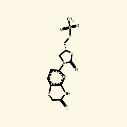 CS(=O)(=O)OC[C@H]1CN(c2ccc3c(n2)NC(=O)CO3)C(=O)O1